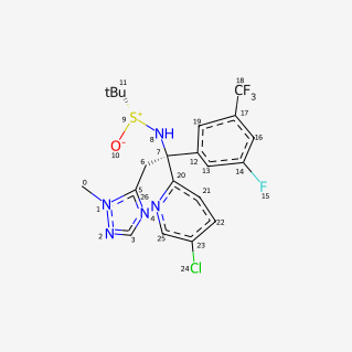 Cn1ncnc1C[C@](N[S@+]([O-])C(C)(C)C)(c1cc(F)cc(C(F)(F)F)c1)c1ccc(Cl)cn1